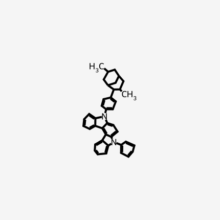 CC1CC2CC(C)C(c3ccc(-n4c5ccccc5c5c6c7ccccc7n(-c7ccccc7)c6ccc54)cc3)C(C1)C2